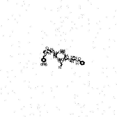 N#CCCOP1(=O)OC[C@H]2C[C@@H](n3cnc4c(=O)n5ccn(CCc6ccc([N+](=O)[O-])cc6)c5nc43)[C@@H]2COP(=O)(S)OC[C@H]2O[C@@H](n3cnc4c(NC(=O)c5ccccc5)ncnc43)C[C@@H]2O1